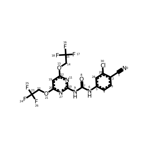 N#Cc1ccc(NC(=O)Nc2nc(OCC(F)(F)F)cc(OCC(F)(F)F)n2)cc1Cl